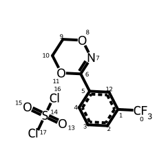 FC(F)(F)c1cccc(C2=NOCCO2)c1.O=S(=O)(Cl)Cl